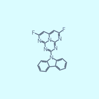 FC1=CC2=CC(F)=NC3=NC(n4c5ccccc5c5ccccc54)=NC(=N1)N23